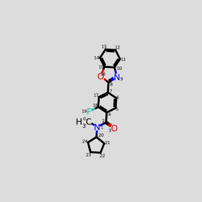 CN(C(=O)c1ccc(-c2nc3ccccc3o2)cc1F)C1CCCC1